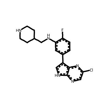 Fc1ccc(-c2c[nH]c3ncc(Cl)nc23)cc1NCC1CCNCC1